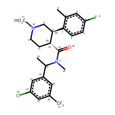 Cc1cc(F)ccc1[C@@H]1CN(C(=O)O)CC[C@H]1C(=O)N(C)C(C)c1cc(Cl)cc(C(F)(F)F)c1